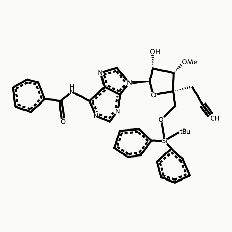 C#CC[C@]1(CO[Si](c2ccccc2)(c2ccccc2)C(C)(C)C)O[C@@H](n2cnc3c(NC(=O)c4ccccc4)ncnc32)[C@H](O)[C@@H]1OC